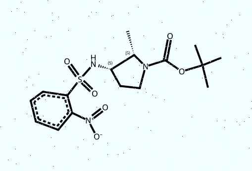 C[C@H]1[C@@H](NS(=O)(=O)c2ccccc2[N+](=O)[O-])CCN1C(=O)OC(C)(C)C